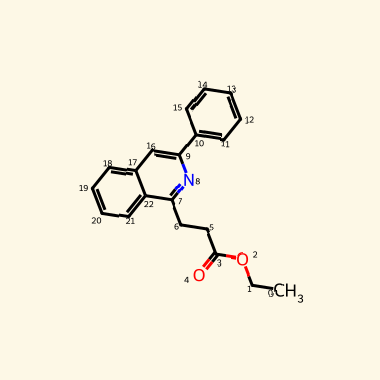 CCOC(=O)CCc1nc(-c2ccccc2)cc2ccccc12